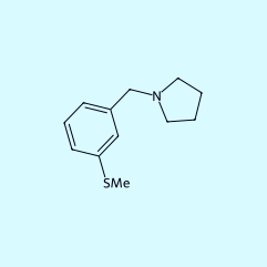 CSc1cccc(CN2CCCC2)c1